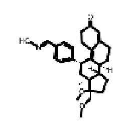 COC[C@]1(OC)CC[C@H]2[C@@H]3CCC4=CC(=O)CCC4=C3[C@@H](c3ccc(/C=N/O)cc3)C[C@@]21C